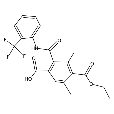 CCOC(=O)c1c(C)cc(C(=O)O)c(C(=O)Nc2ccccc2C(F)(F)F)c1C